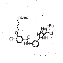 CCCCCCCCCCCCCCOc1cc(C(=O)Nc2cccc(-c3nn4nc(C(C)(C)C)c(Cl)c4[nH]3)c2)ccc1Cl